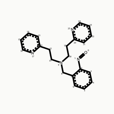 O=Nc1ccccc1CN(CCc1ccccn1)CCc1ccccn1